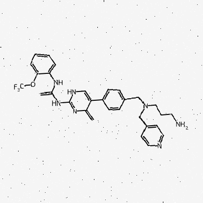 C=C(NC1=NC(=C)C(c2ccc(CN(CCCN)Cc3ccncc3)cc2)=CN1)Nc1ccccc1OC(F)(F)F